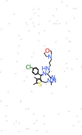 Cc1sc2c(c1C)/C(c1ccc(Cl)cc1)=N\[C@@H](CNCCCN1CCOCC1)c1nnc(C)n1C2